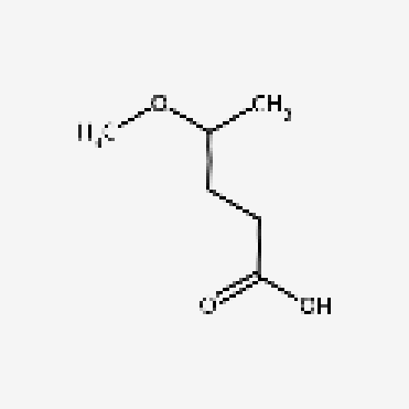 COC(C)CCC(=O)O